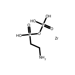 NCCP(=O)(O)OP(=O)(O)O.[Zr]